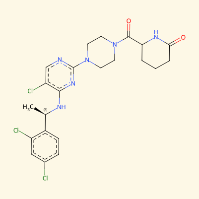 C[C@@H](Nc1nc(N2CCN(C(=O)C3CCCC(=O)N3)CC2)ncc1Cl)c1ccc(Cl)cc1Cl